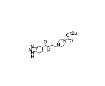 CC(C)(C)OC(=O)N1CCN(CCNC(=O)c2ccc3[nH]nnc3c2)CC1